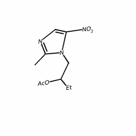 CCC(Cn1c([N+](=O)[O-])cnc1C)OC(C)=O